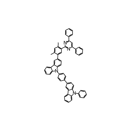 Cc1cc(C)c(-c2nc(-c3ccccc3)cc(-c3ccccc3)n2)cc1-c1ccc2c(c1)c1ccccc1n2-c1ccc(-c2ccc3c(c2)c2ccccc2n3-c2ccccc2)cc1